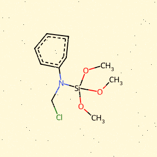 CO[Si](OC)(OC)N(CCl)c1ccccc1